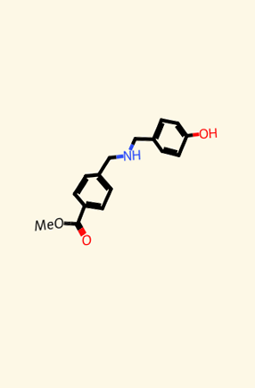 COC(=O)c1ccc(CNCc2ccc(O)cc2)cc1